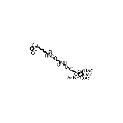 CC(=O)NC1C(OCCOCCOCCNC(=O)CCOCONC(=O)CCCCCCC(=O)OC2C(=O)CCC2=O)OC(COC(C)=O)C(OC(C)=O)C1OC(C)=O